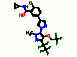 Cn1nc(C(F)(F)C(F)(F)F)c(OCC(F)(F)F)c1-n1cc(-c2ccc(Cl)c(C(O)NC3CC3)c2)cn1